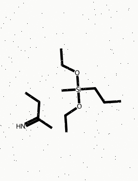 CCC(C)=N.CCC[Si](C)(OCC)OCC